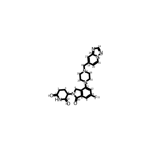 O=C1CCC(N2Cc3c(cc(F)cc3N3CCN(Cc4ccn5ncnc5c4)CC3)C2=O)C(=O)N1